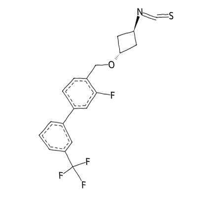 Fc1cc(-c2cccc(C(F)(F)F)c2)ccc1CO[C@H]1C[C@H](N=C=S)C1